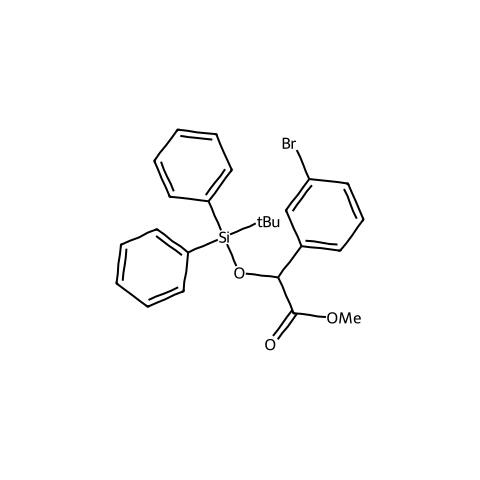 COC(=O)C(O[Si](c1ccccc1)(c1ccccc1)C(C)(C)C)c1cccc(Br)c1